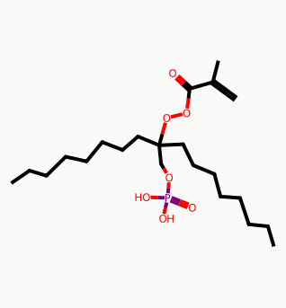 C=C(C)C(=O)OOC(CCCCCCCC)(CCCCCCCC)COP(=O)(O)O